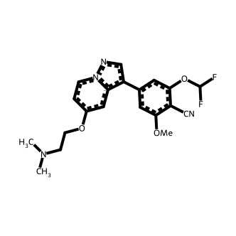 COc1cc(-c2cnn3ccc(OCCN(C)C)cc23)cc(OC(F)F)c1C#N